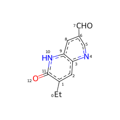 CCc1cc2ncc(C=O)cc2[nH]c1=O